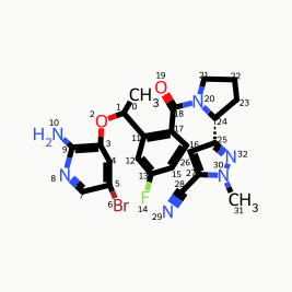 CC(Oc1cc(Br)cnc1N)c1cc(F)ccc1C(=O)N1CCC[C@@H]1c1cc(C#N)n(C)n1